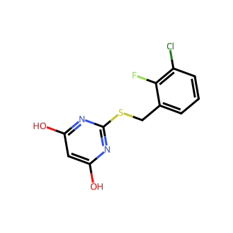 Oc1cc(O)nc(SCc2cccc(Cl)c2F)n1